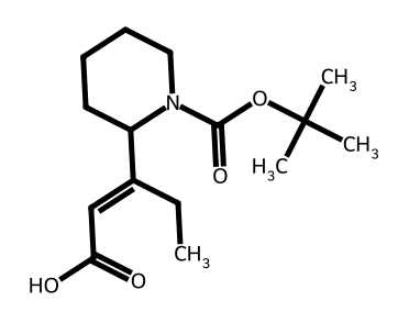 CC/C(=C\C(=O)O)C1CCCCN1C(=O)OC(C)(C)C